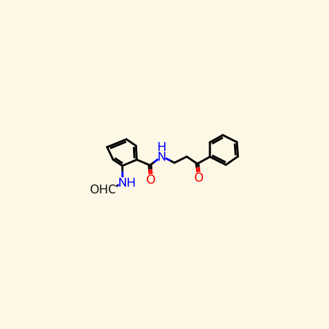 O=CNc1ccccc1C(=O)NCCC(=O)c1ccccc1